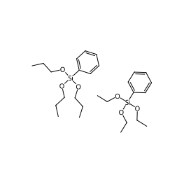 CCCO[Si](OCCC)(OCCC)c1ccccc1.CCO[Si](OCC)(OCC)c1ccccc1